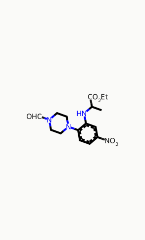 CCOC(=O)C(C)Nc1cc([N+](=O)[O-])ccc1N1CCN(C=O)CC1